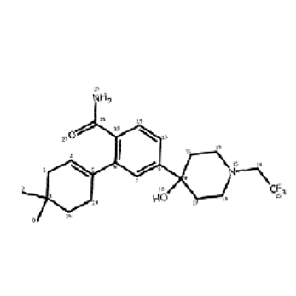 CC1(C)CC=C(c2cc(C3(O)CCN(CC(F)(F)F)CC3)ccc2C(N)=O)CC1